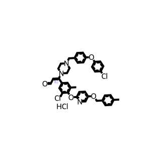 Cc1ccc(COc2ccc(Oc3c(C)cc(/C(=C\C=O)N4CCN(Cc5ccc(Oc6ccc(Cl)cc6)cc5)CC4)cc3Cl)nc2)cc1.Cl